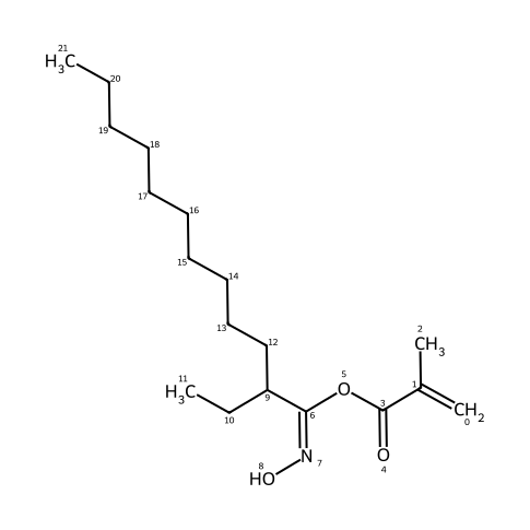 C=C(C)C(=O)OC(=NO)C(CC)CCCCCCCCCC